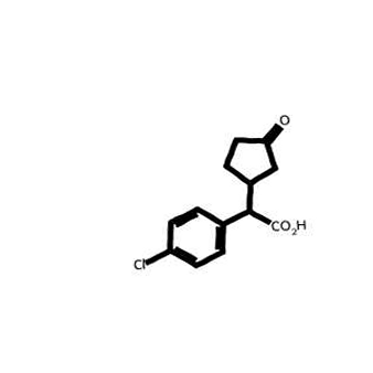 O=C1CCC(C(C(=O)O)c2ccc(Cl)cc2)C1